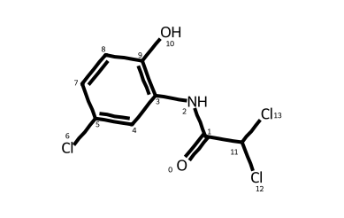 O=C(Nc1cc(Cl)ccc1O)C(Cl)Cl